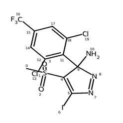 CS(=O)(=O)C1=C(I)N=NC1(N)c1c(Cl)cc(C(F)(F)F)cc1Cl